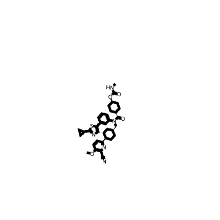 CNC(=O)O[C@H]1CC[C@H](C(=O)N(C[C@H]2CC[C@H](c3ccc(OC)c(C#N)n3)CC2)c2cccc(-c3cnc(C4CC4)s3)c2)CC1